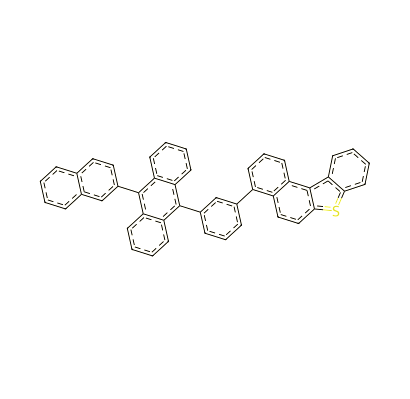 c1cc(-c2c3ccccc3c(-c3ccc4ccccc4c3)c3ccccc23)cc(-c2cccc3c2ccc2sc4ccccc4c23)c1